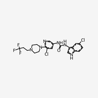 O=C(Nc1cnc(N2CCN(CCC(F)(F)F)CC2)c(Cl)c1)Nc1c[nH]c2ccc(Cl)cc12